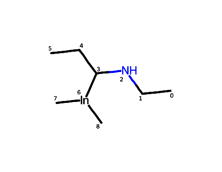 CCN[CH](CC)[In]([CH3])[CH3]